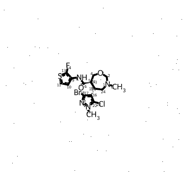 CN1COC[C@H](C(=O)Nc2ccsc2F)[C@@H](c2c(Br)nn(C)c2Cl)C1